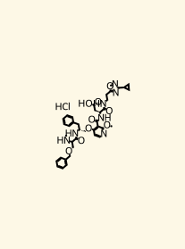 CNC(COCc1ccccc1)C(=O)N[C@@H](COc1ccnc(OC)c1C(=O)N[C@@H](CC(=O)O)C(=O)NCCc1nc(C2CC2)no1)Cc1ccccc1.Cl